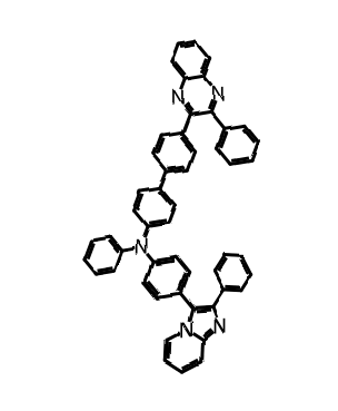 c1ccc(-c2nc3ccccc3nc2-c2ccc(-c3ccc(N(c4ccccc4)c4ccc(-c5c(-c6ccccc6)nc6ccccn56)cc4)cc3)cc2)cc1